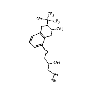 CC(C)(C)NCC(O)COc1cccc2c1CC(O)C(C(N=O)(C(F)(F)F)C(F)(F)F)C2